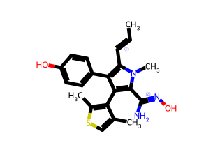 C/C=C/c1c(-c2ccc(O)cc2)c(-c2c(C)csc2C)c(/C(N)=N/O)n1C